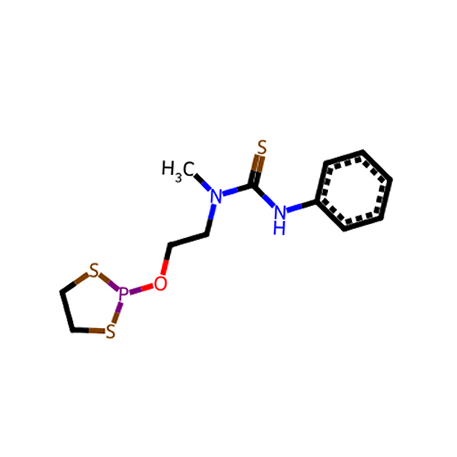 CN(CCOP1SCCS1)C(=S)Nc1ccccc1